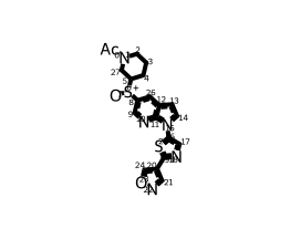 CC(=O)N1CCCC([S+]([O-])c2cnc3c(ccn3-c3cnc(-c4cnoc4)s3)c2)C1